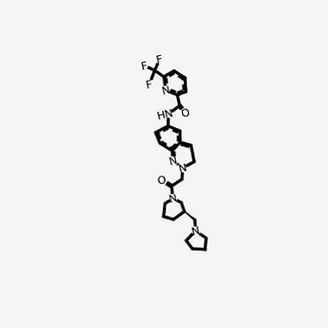 O=C(Nc1ccc2c(c1)=CCN(CC(=O)N1CCC[C@H](CN3CCCC3)C1)N=2)c1cccc(C(F)(F)F)n1